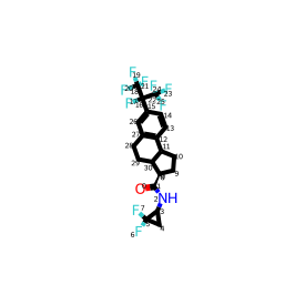 O=C(NC1CC1(F)F)[C@@H]1CCC2c3ccc(C(F)(C(F)(F)F)C(F)(F)F)cc3CCC21